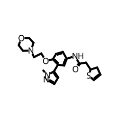 Cn1nccc1-c1cc(NC(=O)CC2CC=CS2)ccc1OCCN1CCOCC1